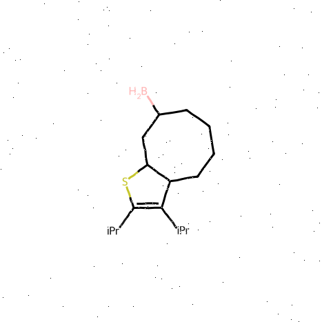 BC1CCCCC2C(C(C)C)=C(C(C)C)SC2C1